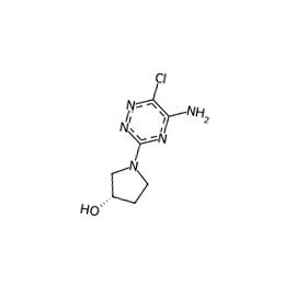 Nc1nc(N2CC[C@H](O)C2)nnc1Cl